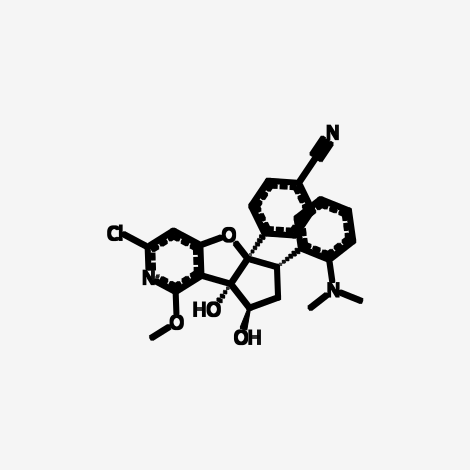 COc1nc(Cl)cc2c1[C@]1(O)[C@H](O)C[C@@H](c3ccccc3N(C)C)[C@]1(c1ccc(C#N)cc1)O2